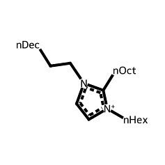 CCCCCCCCCCCCn1cc[n+](CCCCCC)c1CCCCCCCC